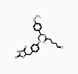 COc1ccc(C(COc2ccc(CC3SC(=O)NC3=O)cc2)OC(=O)CCCC=O)cc1